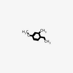 CCC1C=CC(OC)=CC1C